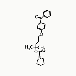 CC(C)(CCCOc1ccc(C(=O)c2ccccc2)cc1)OC(=O)N1CCCCC1